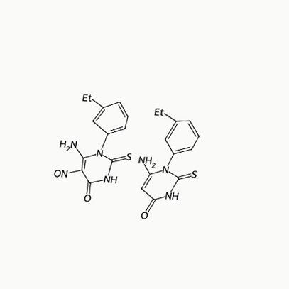 CCc1cccc(-n2c(N)c(N=O)c(=O)[nH]c2=S)c1.CCc1cccc(-n2c(N)cc(=O)[nH]c2=S)c1